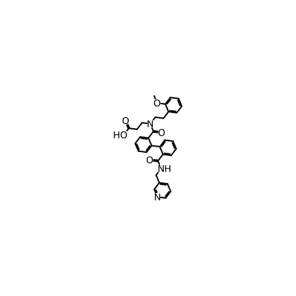 COc1ccccc1CCN(CCC(=O)O)C(=O)c1ccccc1-c1ccccc1C(=O)NCc1cccnc1